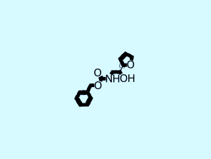 O=C(NCC(O)[C@@H]1C=CCO1)OCc1ccccc1